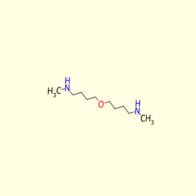 CNCCCCOCCCCNC